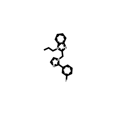 CCCn1c(Cn2ccnc2-c2cccc(F)c2)nc2ccccc21